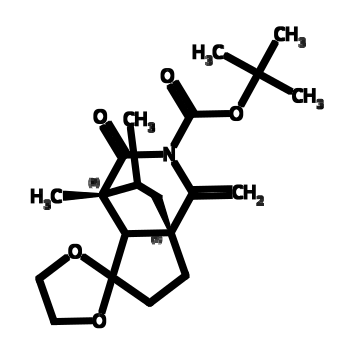 C=C1N(C(=O)OC(C)(C)C)C(=O)[C@]2(C)C(C)C[C@]13CCC1(OCCO1)C32